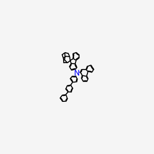 c1ccc(-c2ccc(-c3ccc(N(c4ccc5c(c4)-c4ccccc4C54C5CC6CC(C5)CC4C6)c4cc5ccccc5c5ccccc45)cc3)cc2)cc1